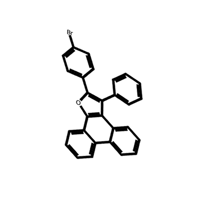 Brc1ccc(-c2oc3c4ccccc4c4ccccc4c3c2-c2ccccc2)cc1